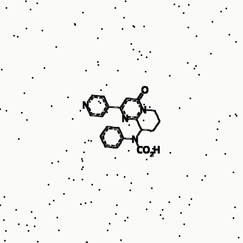 O=C(O)N(c1ccccc1)C1CCCn2c1nc(-c1ccncc1)cc2=O